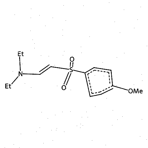 CCN(C=CS(=O)(=O)c1ccc(OC)cc1)CC